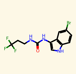 O=C(NCCC(F)(F)F)Nc1c[nH]c2ccc(Br)cc12